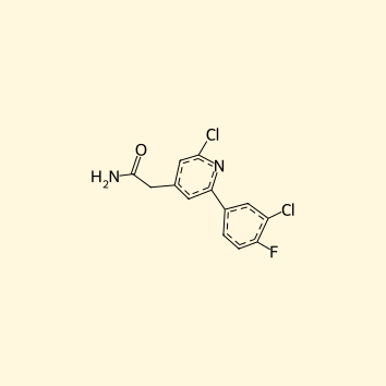 NC(=O)Cc1cc(Cl)nc(-c2ccc(F)c(Cl)c2)c1